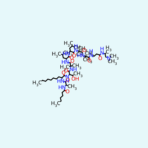 CCCCCCCCC(NC(=O)C(C)NC(=O)CCCCC)C(=O)NC(C(=O)NC(C)(C)C(=O)NC(CC(C)C)C(=O)NC(CC(C)C)C(=O)NC(C)(C)C(=O)NC(C)(C)C(=O)NCCC(=O)NC(C)CN(C)C)C(C)O